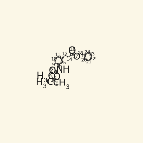 CC(C)(C)OC(=O)Nc1cccc(CCC(=O)OCc2ccccc2)c1